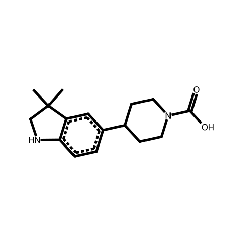 CC1(C)CNc2ccc(C3CCN(C(=O)O)CC3)cc21